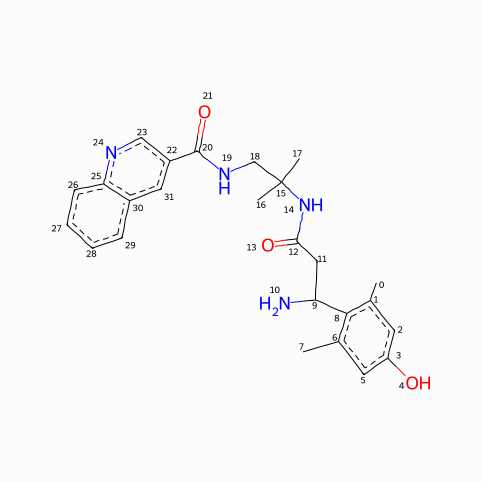 Cc1cc(O)cc(C)c1C(N)CC(=O)NC(C)(C)CNC(=O)c1cnc2ccccc2c1